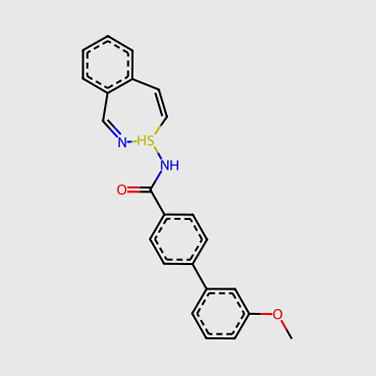 COc1cccc(-c2ccc(C(=O)N[SH]3C=Cc4ccccc4C=N3)cc2)c1